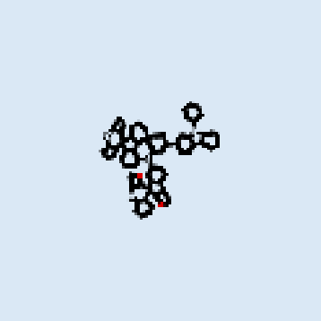 c1ccc(-n2c3ccccc3c3ccc(-c4cccc(N(c5ccc6c(c5)C5(c7ccccc7Sc7ccccc75)c5ccccc5-6)c5cccc6c5-c5ccccc5C65c6ccccc6Oc6ccccc65)c4)cc32)cc1